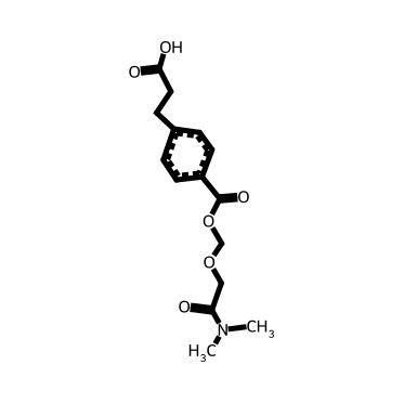 CN(C)C(=O)COCOC(=O)c1ccc(CCC(=O)O)cc1